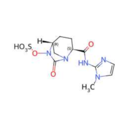 Cn1ccnc1NC(=O)[C@@H]1CC[C@@H]2CN1C(=O)N2OS(=O)(=O)O